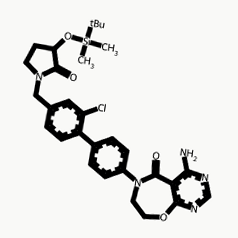 CC(C)(C)[Si](C)(C)OC1CCN(Cc2ccc(-c3ccc(N4CCOc5ncnc(N)c5C4=O)cc3)c(Cl)c2)C1=O